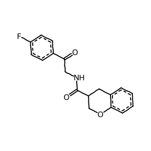 O=C(CNC(=O)C1COc2ccccc2C1)c1ccc(F)cc1